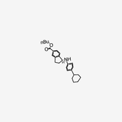 CCCCOC(=O)c1ccc2c(c1)CC[C@H]2Nc1ccc(C2CCCCC2)cc1